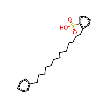 O=S(=O)(O)c1ccccc1CCCCCCCCCCCCCc1ccccc1